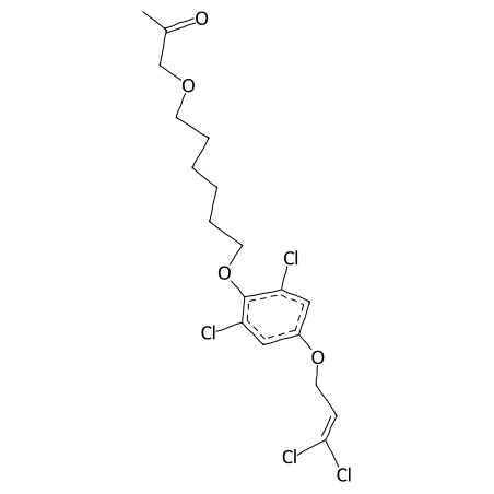 CC(=O)COCCCCCCOc1c(Cl)cc(OCC=C(Cl)Cl)cc1Cl